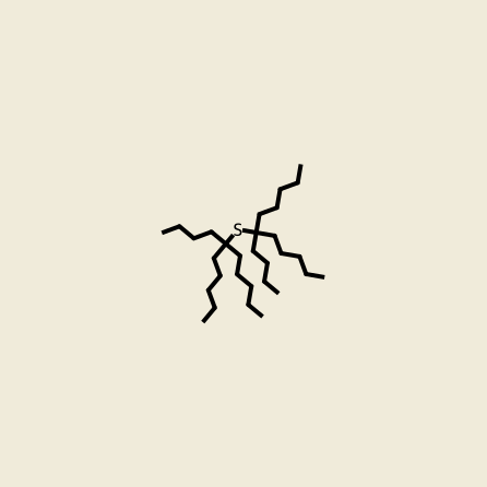 CCCCCC(CCCC)(CCCCC)SC(CCCC)(CCCCC)CCCCC